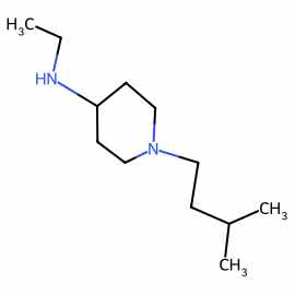 CCNC1CCN(CCC(C)C)CC1